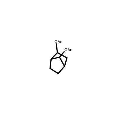 CC(=O)OC1CC2CCC1C2OC(C)=O